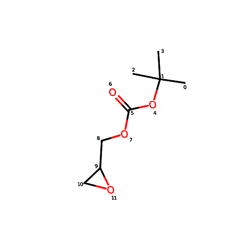 CC(C)(C)OC(=O)OCC1CO1